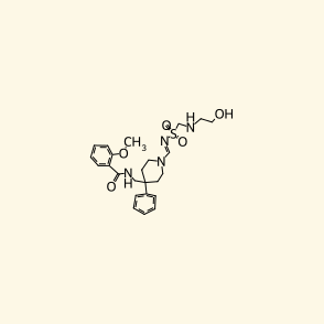 COc1ccccc1C(=O)NCC1(c2ccccc2)CCN(/C=N/S(=O)(=O)CNCCO)CC1